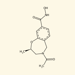 CC(=O)N1Cc2ccc(C(=O)NO)cc2O[C@H](C)C1